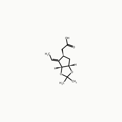 C/C=C1\[C@@H](CC(=O)O)C[C@@H]2OC(C)(C)O[C@H]12